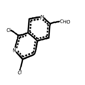 O=Cc1cc2cc(Cl)nc(Cl)c2cn1